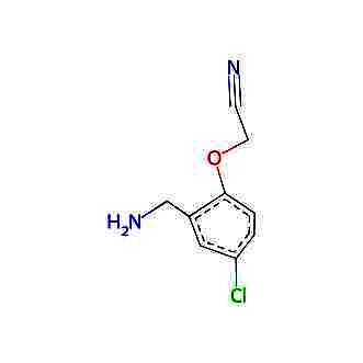 N#CCOc1ccc(Cl)cc1CN